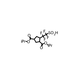 CC(C)OC(=O)C1CC(C(=O)OC(C)C)C(C(F)(F)C(F)(F)S(=O)(=O)O)C1